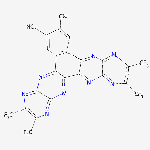 N#Cc1cc2c(cc1C#N)c1nc3nc(C(F)(F)F)c(C(F)(F)F)nc3nc1c1nc3nc(C(F)(F)F)c(C(F)(F)F)nc3nc21